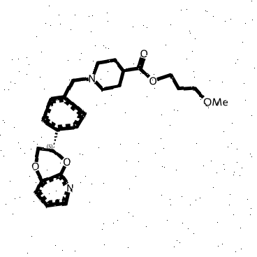 COCCCOC(=O)C1CCN(Cc2ccc([C@H]3COc4cccnc4O3)cc2)CC1